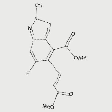 COC(=O)C=Cc1c(F)cc2nn(C)cc2c1C(=O)OC